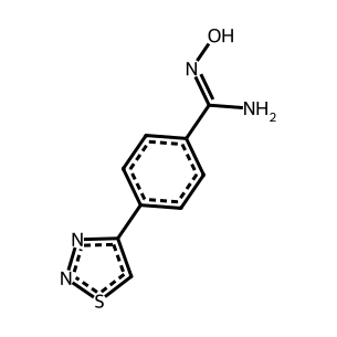 N/C(=N\O)c1ccc(-c2csnn2)cc1